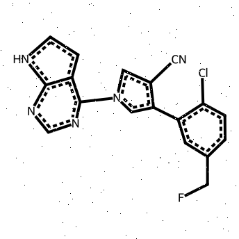 N#Cc1cn(-c2ncnc3[nH]ccc23)cc1-c1cc(CF)ccc1Cl